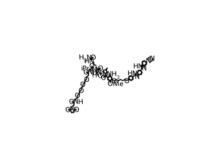 C=C1C[C@@H](C2OCCN2C(=O)[C@H](CCCNC(N)=O)NC(=O)[C@@H](NC(=O)CCOCCOCCOCCOCCNC(=O)CCN2C(=O)C=CC2=O)C(C)C)N(C(=O)c2cc(OC)c(OCCCCCOc3ccc(-c4nc5ccc(-c6nc7cc(N8CCN(C)CC8)ccc7[nH]6)cc5[nH]4)cc3)cc2N)C1